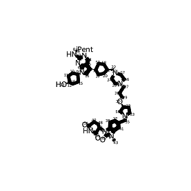 CCC[C@H](C)Nc1ncc2c(n1)n([C@H]1CC[C@H](O)CC1)cc2[C@H]1CC[C@H](CN2CCN(CCCO[C@H]3CCN(Cc4ccc5c(c4)n(C)c(=O)n5C4CCC(=O)NC4=O)C3)CC2)CC1